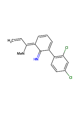 C=C/C(NC)=C1\C=CC=C(c2ccc(Cl)cc2Cl)C1=N